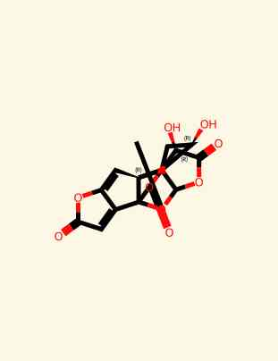 O=C1C=C2C(=C[C@@]34C5OC(=O)C23OC2OC(=O)[C@H](O)C24C[C@H]5O)O1